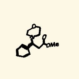 COC(=O)CC(c1ccccc1)N1CCOCC1